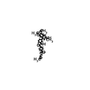 CNc1nc(-c2cccc(NC(=O)c3ccc(C(=O)OCCOC)cc3)c2)c2cc(OC)c(OC)cc2n1